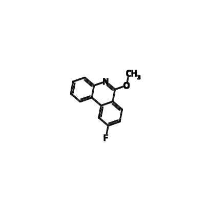 COc1nc2ccccc2c2cc(F)ccc12